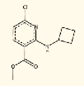 COC(=O)c1ccc(Cl)nc1NC1CCC1